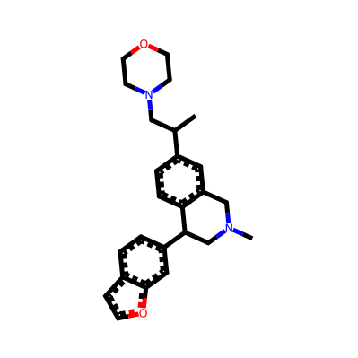 CC(CN1CCOCC1)c1ccc2c(c1)CN(C)CC2c1ccc2ccoc2c1